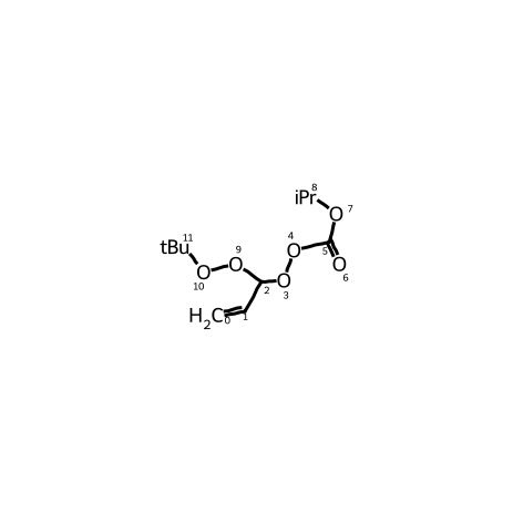 C=CC(OOC(=O)OC(C)C)OOC(C)(C)C